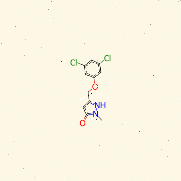 Cn1[nH]c(COc2cc(Cl)cc(Cl)c2)cc1=O